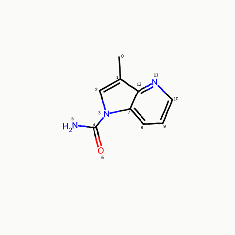 Cc1cn(C(N)=O)c2cccnc12